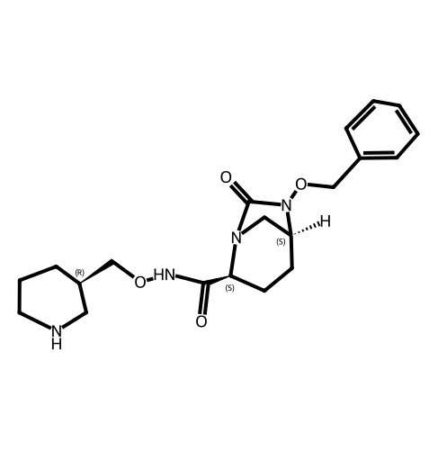 O=C(NOC[C@@H]1CCCNC1)[C@@H]1CC[C@H]2CN1C(=O)N2OCc1ccccc1